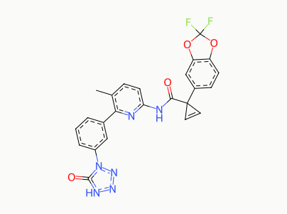 Cc1ccc(NC(=O)C2(c3ccc4c(c3)OC(F)(F)O4)C=C2)nc1-c1cccc(-n2nn[nH]c2=O)c1